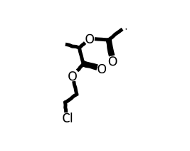 [CH2]C(=O)OC(C)C(=O)OCCCl